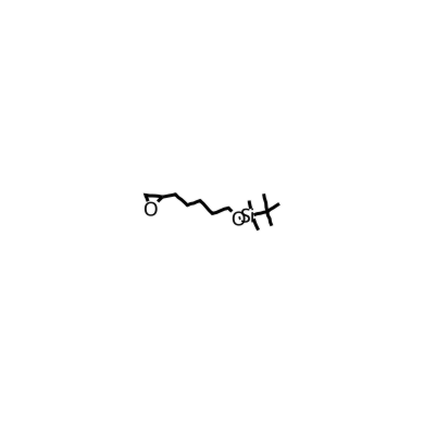 CC(C)(C)[Si](C)(C)OCCCCCC1CO1